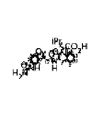 CC(C)C[C@H](NC(=O)[C@H](Cc1ccccc1)NC(=O)CC1COc2ccc(NC(N)=O)cc21)C(=O)O